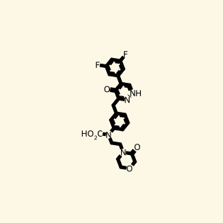 O=C1COCCN1CCN(C(=O)O)c1cccc(Cc2n[nH]cc(-c3cc(F)cc(F)c3)c2=O)c1